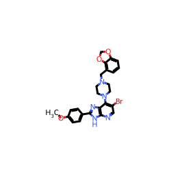 COc1ccc(-c2nc3c(N4CCN(Cc5cccc6c5OCO6)CC4)c(Br)cnc3[nH]2)cc1